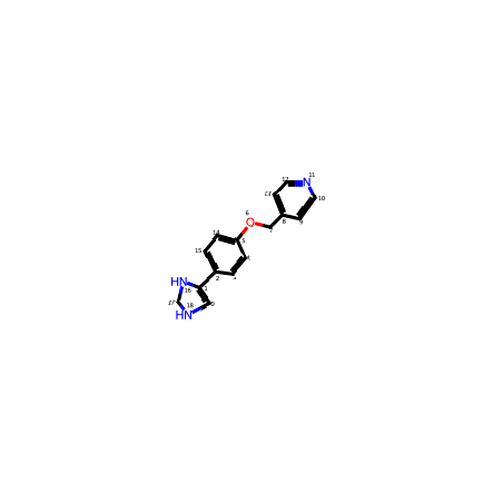 C1=C(c2ccc(OCc3ccncc3)cc2)NCN1